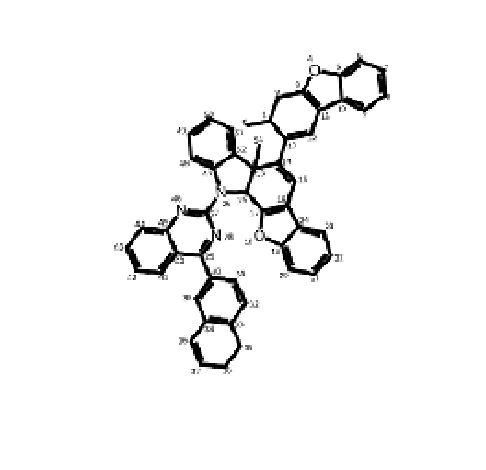 CC1Cc2oc3ccccc3c2C=C1C1=Cc2c(oc3ccccc23)C2N(c3nc(-c4ccc5c(c4)C=CCC5)c4ccccc4n3)c3ccccc3C12C